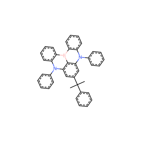 CC(C)(c1ccccc1)c1cc2c3c(c1)N(c1ccccc1)c1ccccc1B3c1ccccc1N2c1ccccc1